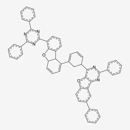 C1=CC(c2nc(-c3ccccc3)nc3c2oc2ccc(-c4ccccc4)cc23)CC(C2=CC=CC3Oc4c(-c5nc(-c6ccccc6)nc(-c6ccccc6)n5)cccc4C23)=C1